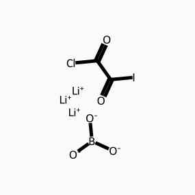 O=C(Cl)C(=O)I.[Li+].[Li+].[Li+].[O-]B([O-])[O-]